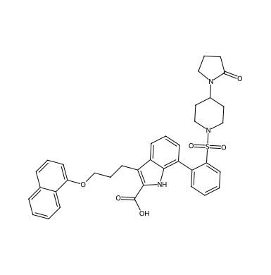 O=C(O)c1[nH]c2c(-c3ccccc3S(=O)(=O)N3CCC(N4CCCC4=O)CC3)cccc2c1CCCOc1cccc2ccccc12